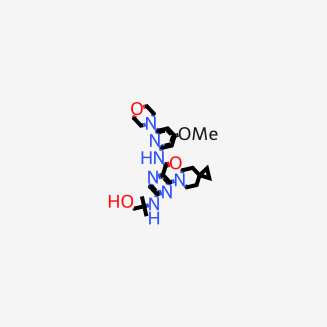 COc1cc(NC(=O)c2ncc(NC(C)(C)CO)nc2N2CCC3(CC2)CC3)nc(N2CCOCC2)c1